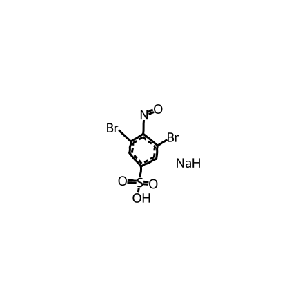 O=Nc1c(Br)cc(S(=O)(=O)O)cc1Br.[NaH]